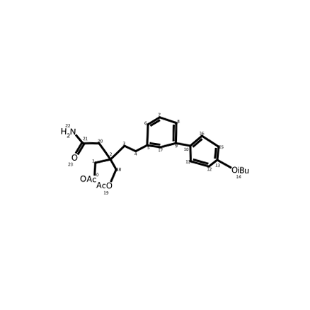 CC(=O)OCC(CCc1cccc(-c2ccc(OCC(C)C)cc2)c1)(COC(C)=O)CC(N)=O